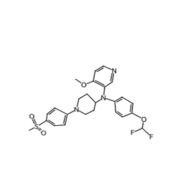 COc1ccncc1N(c1ccc(OC(F)F)cc1)C1CCN(c2ccc(S(C)(=O)=O)cc2)CC1